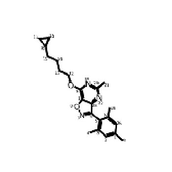 Cc1cc(C)c(-c2noc3c(OCCCCC4CC4)nc(C)nc23)c(C)c1